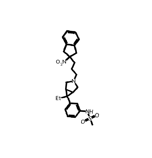 CCC1(c2cccc(NS(C)(=O)=O)c2)C2CN(CCCC3([N+](=O)[O-])Cc4ccccc4C3)CC21